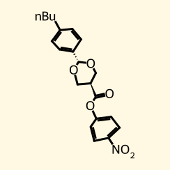 CCCCc1ccc([C@H]2OC[C@H](C(=O)Oc3ccc([N+](=O)[O-])cc3)CO2)cc1